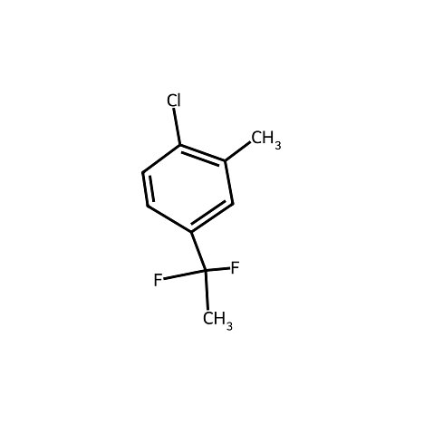 Cc1cc(C(C)(F)F)ccc1Cl